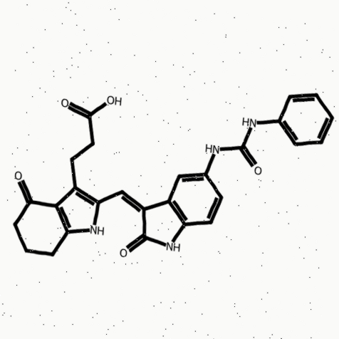 O=C(O)CCc1c(C=C2C(=O)Nc3ccc(NC(=O)Nc4ccccc4)cc32)[nH]c2c1C(=O)CCC2